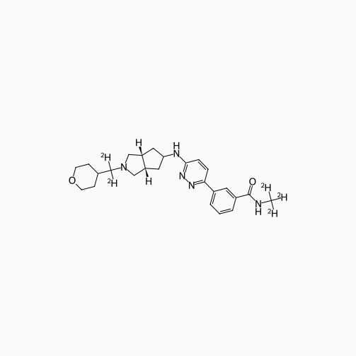 [2H]C([2H])([2H])NC(=O)c1cccc(-c2ccc(NC3C[C@@H]4CN(C([2H])([2H])C5CCOCC5)C[C@@H]4C3)nn2)c1